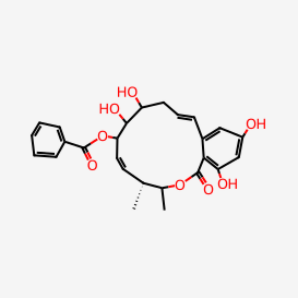 CC1OC(=O)c2c(O)cc(O)cc2/C=C/CC(O)C(O)C(OC(=O)c2ccccc2)/C=C\[C@H]1C